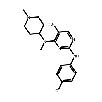 CN1CCC(N(C)c2nc(Nc3ccc(Cl)cc3)ncc2[N+](=O)[O-])CC1